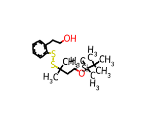 CC(C)(CCO[Si](C)(C)C(C)(C)C)SSc1ccccc1CCO